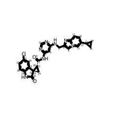 O=C(Nc1cc(NCc2cn3cc(C4CC4)ccc3n2)ncn1)[C@@H]1C[C@]12C(=O)Nc1ccc(Cl)cc12